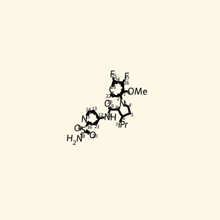 COc1c(N2CCC(C(C)C)C2C(=O)Nc2ccnc(S(N)(=O)=O)c2)ccc(F)c1F